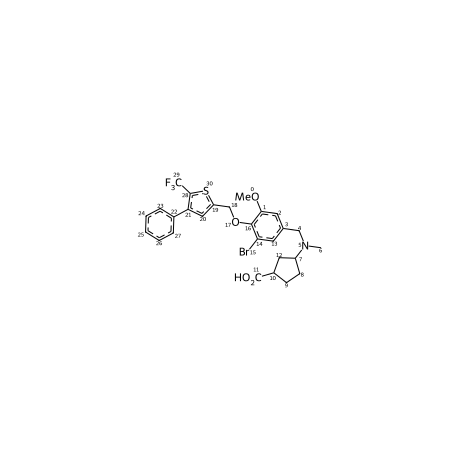 COc1cc(CN(C)C2CCC(C(=O)O)C2)cc(Br)c1OCc1cc(-c2ccccc2)c(C(F)(F)F)s1